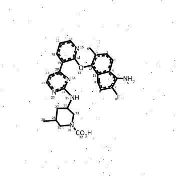 Cc1ccc2c(N)c(F)ccc2c1Oc1ncccc1-c1ccnc(NC2CC(C)CN(C(=O)O)C2)n1